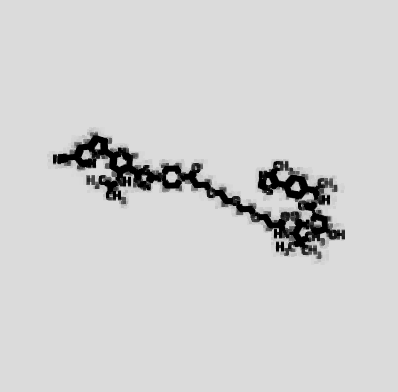 Cc1ncsc1-c1ccc([C@H](C)NC(=O)[C@@H]2C[C@@H](O)CN2C(=O)[C@@H](NC(=O)CCOCCOCCOCCC(=O)N2CCN(c3nnc(-c4cnc(-c5ccc6cc(C#N)cnn56)cc4NC(C)C)s3)CC2)C(C)(C)C)cc1